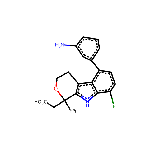 CCCC1(CC(=O)O)OCCc2c1[nH]c1c(F)ccc(-c3cccc(N)c3)c21